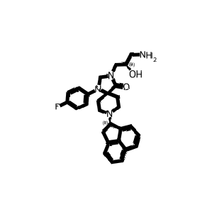 NC[C@@H](O)CN1CN(c2ccc(F)cc2)C2(CCN([C@@H]3Cc4cccc5cccc3c45)CC2)C1=O